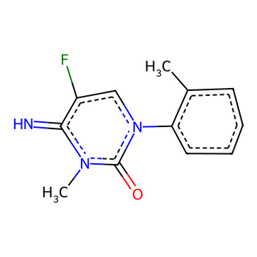 Cc1ccccc1-n1cc(F)c(=N)n(C)c1=O